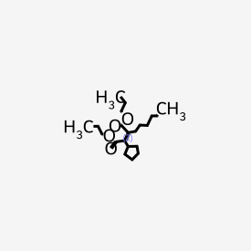 CCCCCC/C(C(=O)OCCC)=C(/C(=O)OCCC)C1CCCC1